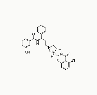 N#Cc1cccc(C(=O)NC(CCN2CC3CN(C(=O)c4c(F)cccc4Cl)C[C@@H]3C2)c2ccccc2)c1